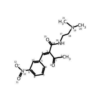 CC(=O)/C(=C\c1cccc([N+](=O)[O-])c1)C(=O)NCCN(C)C